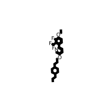 CCCC1CCC(CCCOc2ccc(-c3ccc(OCC)c(F)c3C(F)F)nc2)CC1